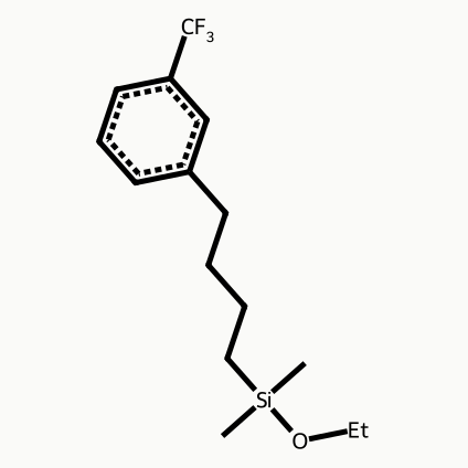 CCO[Si](C)(C)CCCCc1cccc(C(F)(F)F)c1